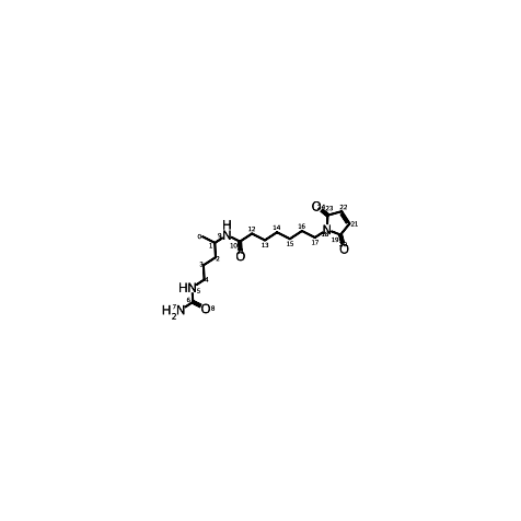 CC(CCCNC(N)=O)NC(=O)CCCCCCN1C(=O)C=CC1=O